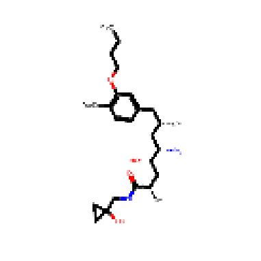 COCCCOc1cc(C[C@@H](C[C@H](N)[C@@H](O)C[C@H](C(=O)NCC2(O)CC2)C(C)C)C(C)C)ccc1OC